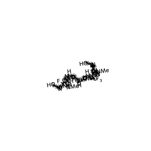 CNC(=O)c1nc(-c2cnn(CCCO)c2)ccc1Nc1nc(Nc2ccc(CO[PH](=O)OCc3ccc(Nc4ncc(C(F)(F)F)c(Nc5ccc(-c6cnn(CCCO)c6)nc5C(=O)NC)n4)cc3)cc2)ncc1C(F)(F)F